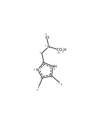 CCN(Cc1nc(I)c(I)[nH]1)C(=O)O